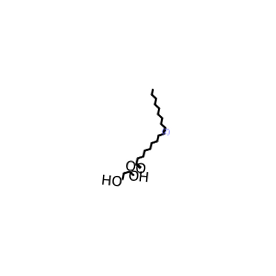 CCCCCCCC/C=C\CCCCCCCC(=O)OC(O)CCO